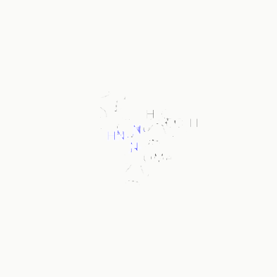 CC(=O)O.COc1ccccc1CN1Cc2ccccc2N=C1NC1Cc2ccccc2C1